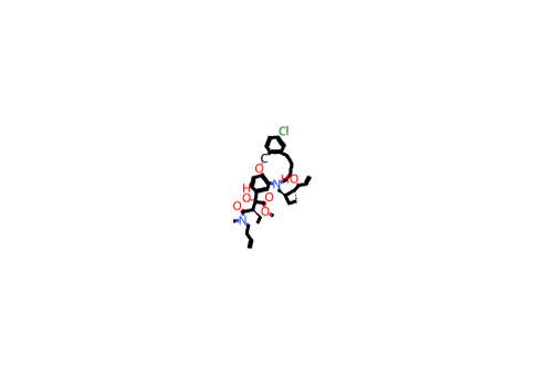 C=CCCN(C)C(=O)[C@H](CC)[C@](O)(C(=O)OC)c1ccc2c(c1)N(C[C@@H]1CC[C@H]1[C@@H](O)C=C)CCCCc1cc(Cl)ccc1CO2